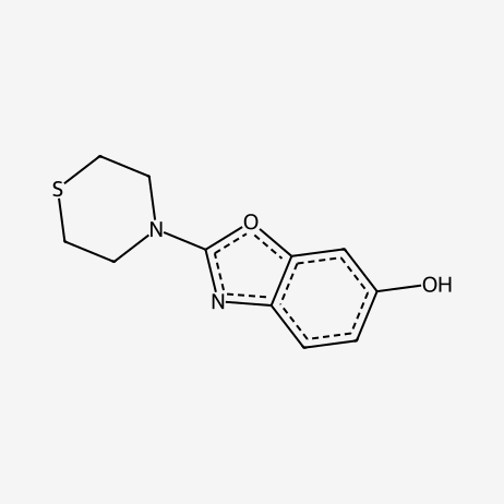 Oc1ccc2nc(N3CCSCC3)oc2c1